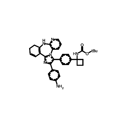 CC(C)(C)OC(=O)NC1(c2ccc(-c3c(-c4ccc(N)cc4)nc4n3-c3cccnc3NC3=C4C=CCC3)cc2)CCC1